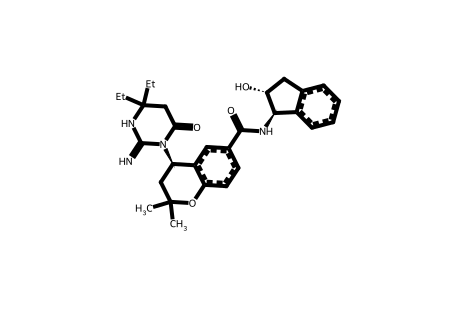 CCC1(CC)CC(=O)N([C@@H]2CC(C)(C)Oc3ccc(C(=O)N[C@@H]4c5ccccc5C[C@H]4O)cc32)C(=N)N1